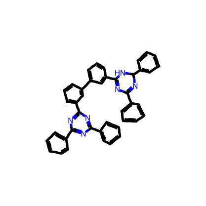 c1ccc(C2=NC(c3ccccc3)NC(c3cccc(-c4cccc(-c5nc(-c6ccccc6)nc(-c6ccccc6)n5)c4)c3)=N2)cc1